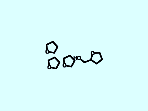 C1CCOC1.C1CCOC1.C1CCOC1.OCC1CCCO1